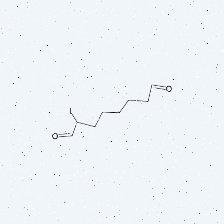 O=CCCCCCC(I)C=O